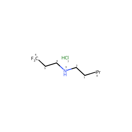 CC(C)CCNCCC(F)(F)F.Cl